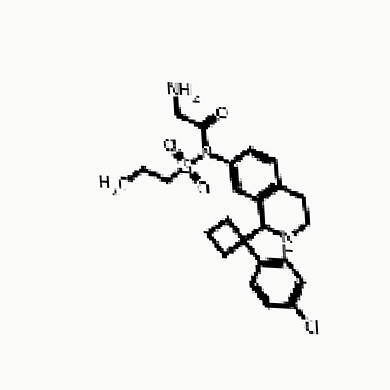 CCCS(=O)(=O)N(C(=O)CN)c1ccc2c(c1)C(C1(c3ccc(Cl)cc3)CCC1)NCC2